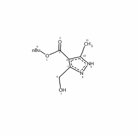 CCCCOC(=O)c1c(CO)n[nH]c1C